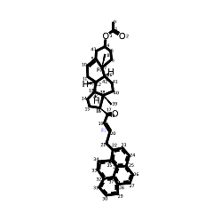 CC(=O)OC1CC[C@@]2(C)C(=CC[C@H]3[C@@H]4CC[C@H](C(=O)/C=C/Cc5ccc6ccc7cccc8ccc5c6c78)[C@@]4(C)CC[C@@H]32)C1